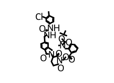 Cc1ccc(NC(=O)NCc2ccc3c(c2)CN(C2CCC(=O)N(COC(=O)c4ccccc4CN(C)C(=O)OC(C)(C)C)C2=O)C3=O)cc1Cl